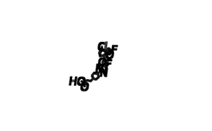 O=C(O)CCC1CC=C(c2ncc(F)c(OCc3ccc(Cl)c4cc(F)oc34)n2)CC1